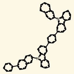 c1ccc(-c2ccc3cc(-n4c5ccccc5c5cc(-c6ccc(-c7ccc8c9ccccc9n(-c9ccc%10ccccc%10c9)c8c7)cc6)ccc54)ccc3c2)cc1